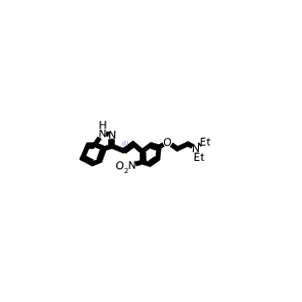 CCN(CC)CCOc1ccc([N+](=O)[O-])c(/C=C/c2n[nH]c3ccccc23)c1